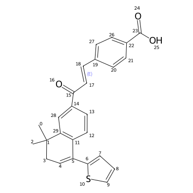 CC1(C)CC=C(c2cccs2)c2ccc(C(=O)/C=C/c3ccc(C(=O)O)cc3)cc21